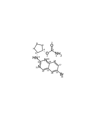 NC(=O)O[C@H]1CCC[C@H]1Nc1ncc2cc(Br)ccc2n1